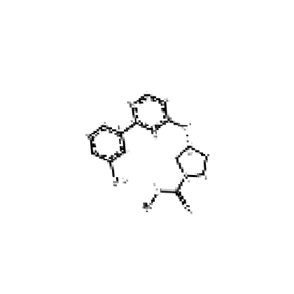 CC(C)(C)OC(=O)N1CC[C@@H](Oc2ccnc(-c3cccc(C=O)c3)n2)C1